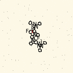 Fc1cc(F)cc(-c2ccc(-n3c4ccccc4c4cc(-c5nc(-c6ccccc6)nc(-c6ccccc6)n5)ccc43)c(C(F)(F)F)c2-n2c3ccccc3c3cc(-c4nc(-c5ccccc5)nc(-c5ccccc5)n4)ccc32)c1